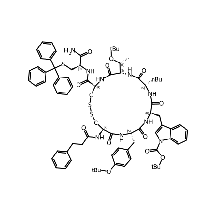 CCCC[C@@H]1NC(=O)[C@@H](Cc2cn(C(=O)OC(C)(C)C)c3ccccc23)NC(=O)[C@H](Cc2ccc(OC(C)(C)C)cc2)NC(=O)[C@@H](NC(=O)CCc2ccccc2)CSSC[C@@H](C(=O)N[C@@H](CSC(c2ccccc2)(c2ccccc2)c2ccccc2)C(N)=O)NC(=O)[C@H]([C@@H](C)OC(C)(C)C)NC1=O